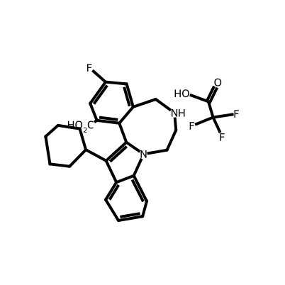 O=C(O)C(F)(F)F.O=C(O)c1cc(F)cc2c1-c1c(C3CCCCC3)c3ccccc3n1CCNC2